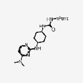 CCCCCNC(=O)N[C@H]1CC[C@@H](Nc2nccc(N(C)C)n2)CC1